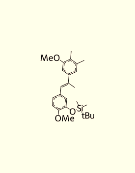 COc1ccc(/C=C(\C)c2cc(C)c(C)c(OC)c2)cc1O[Si](C)(C)C(C)(C)C